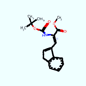 COC(=O)/C(=C/C1=CCc2ccccc21)NC(=O)OC(C)(C)C